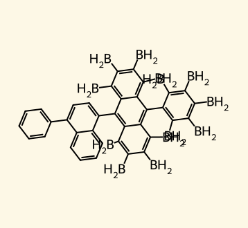 Bc1c(B)c(B)c(-c2c3c(B)c(B)c(B)c(B)c3c(-c3ccc(-c4ccccc4)c4ccccc34)c3c(B)c(B)c(B)c(B)c23)c(B)c1B